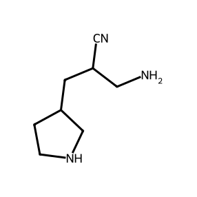 N#CC(CN)CC1CCNC1